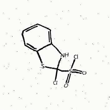 O=S(=O)(Cl)C1(Cl)Nc2ccccc2S1